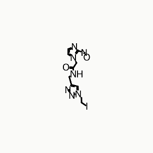 O=Nc1nccn1CC(=O)NCc1cn(CCI)nn1